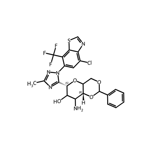 Cc1nc([C@@H]2OC3COC(c4ccccc4)O[C@@H]3C(N)C2O)n(-c2cc(Cl)c3ncsc3c2C(F)(F)F)n1